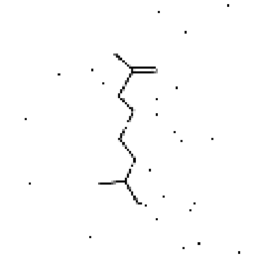 CC(=S)CCCCC(C)C